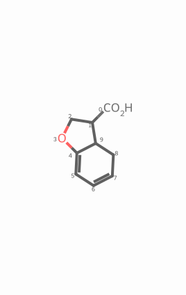 O=C(O)C1COC2=CC=CCC21